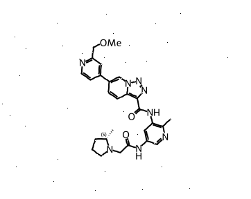 COCc1cc(-c2ccc3c(C(=O)Nc4cc(NC(=O)CN5CCC[C@@H]5C)cnc4C)nnn3c2)ccn1